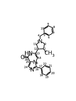 CC1CN(Cc2ccccc2)CC1c1cn2c(-c3ccccc3)ncc2c(=O)[nH]1